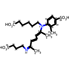 CC(/C=C/C=C(\C)N(CCCCCC(=O)O)c1ccc(S(=O)(=O)O)cc1C)=N/CCCS(=O)(=O)O